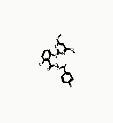 COc1cc(OC)nc(Sc2cccc(Cl)c2C(=O)O/N=C(\C)c2ccc(F)cc2)n1